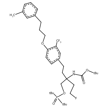 Cc1cccc(CCCOc2ccc(CCC(CCF)(COP(=O)(C(C)(C)C)C(C)(C)C)NC(=O)OC(C)(C)C)cc2C(F)(F)F)c1